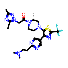 Cc1nc(C)n(CC(=O)N2CCN(c3sc(C(F)(F)F)nc3-c3cnc(CCN(C)C)nc3)C[C@H]2C)n1